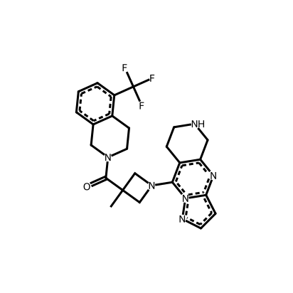 CC1(C(=O)N2CCc3c(cccc3C(F)(F)F)C2)CN(c2c3c(nc4ccnn24)CNCC3)C1